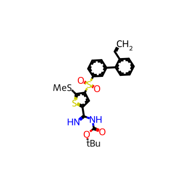 C=Cc1ccccc1-c1cccc(S(=O)(=O)c2cc(C(=N)NC(=O)OC(C)(C)C)sc2SC)c1